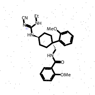 CCN/C(=N\C#N)N[C@H]1CC[C@@](CNC(=O)c2ccccc2OC)(c2ccccc2OC)CC1